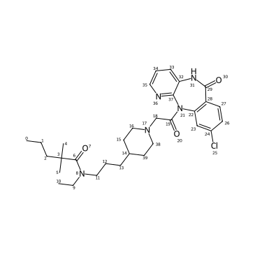 CCCC(C)(C)C(=O)N(CC)CCCC1CCN(CC(=O)N2c3cc(Cl)ccc3C(=O)Nc3cccnc32)CC1